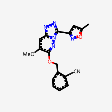 COc1cc2nnc(-c3cc(C)on3)n2nc1OCc1ccccc1C#N